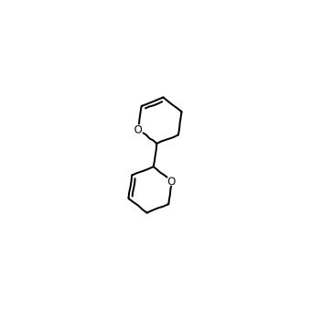 C1=CC(C2CCC=CO2)OCC1